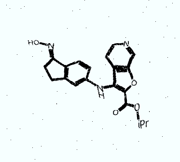 CC(C)OC(=O)c1oc2cnccc2c1Nc1ccc2c(c1)CCC2=NO